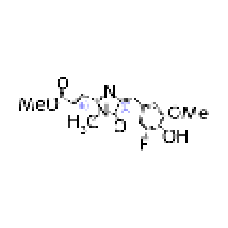 COC(=O)/C=C/C1=NC(=C/c2cc(F)c(O)c(OC)c2)/C(=O)N1C